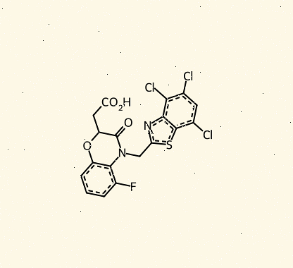 O=C(O)CC1Oc2cccc(F)c2N(Cc2nc3c(Cl)c(Cl)cc(Cl)c3s2)C1=O